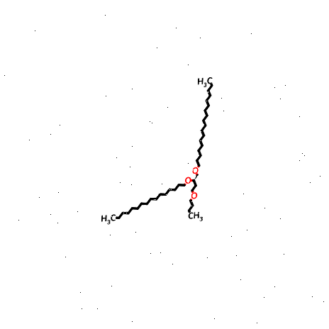 CCCCCCCCCCCCCCCCCCOC[C@H](CCOCCCC)OCCCCCCCCCCCCCCCC